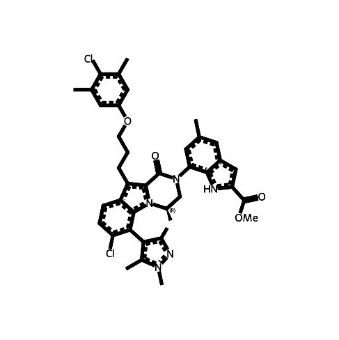 COC(=O)c1cc2cc(C)cc(N3C[C@@H](C)n4c(c(CCCOc5cc(C)c(Cl)c(C)c5)c5ccc(Cl)c(-c6c(C)nn(C)c6C)c54)C3=O)c2[nH]1